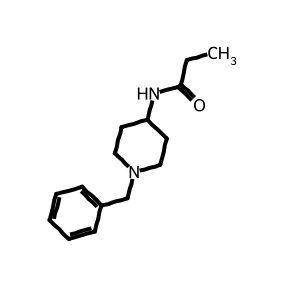 CCC(=O)NC1CCN(Cc2ccccc2)CC1